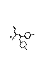 C=C/C=C(\C=C(/CN1CCN(C)CC1)C1=CC=C(C)CC1)C(F)(F)F